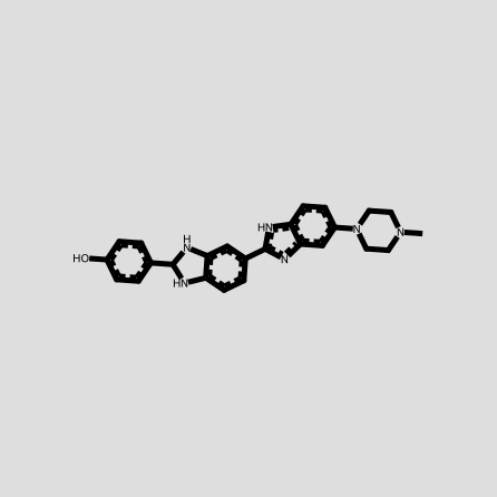 CN1CCN(c2ccc3[nH]c(-c4ccc5c(c4)NC(c4ccc(O)cc4)N5)nc3c2)CC1